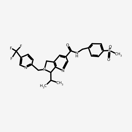 CC(C)C1c2ncc(C(=O)NCc3ccc(S(C)(=O)=O)cc3)cc2CN1Cc1ccc(C(F)(F)F)cn1